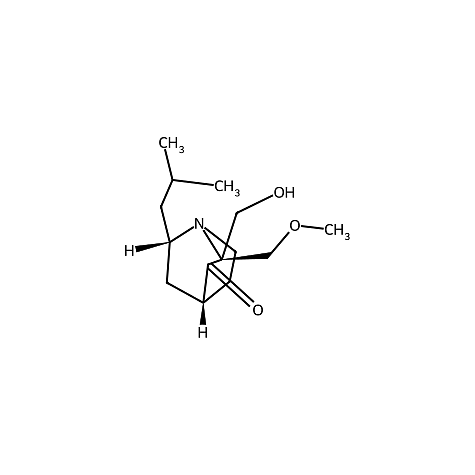 COC[C@@]1(CO)C(=O)[C@@H]2CCN1[C@@H](CC(C)C)C2